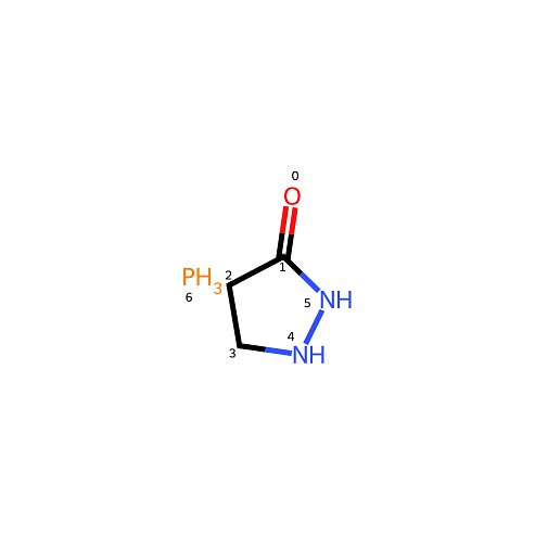 O=C1CCNN1.P